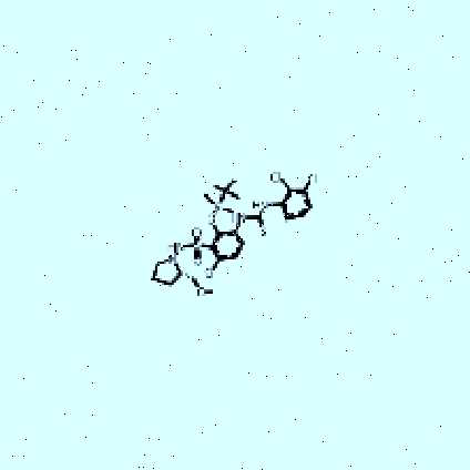 COC[C@@H]1CCCN1NS(=O)(=O)c1c(Cl)ccc(NC(=S)Nc2cccc(Cl)c2Cl)c1O[Si](C)(C)C(C)(C)C